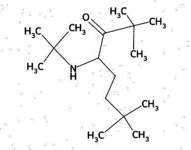 CC(C)(C)CCC(NC(C)(C)C)C(=O)C(C)(C)C